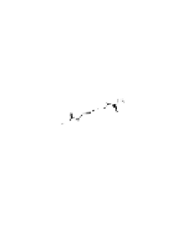 COC(=O)CCCCCCC(=O)NO